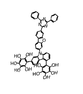 Oc1c(O)c(O)c(-c2ccc3c4c(-c5c(O)c(O)c(O)c(O)c5O)cccc4n(-c4ccc5c(c4)oc4cc(-c6nc(-c7ccccc7)nc(-c7ccccc7)n6)ccc45)c3c2)c(O)c1O